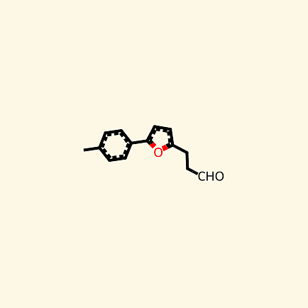 Cc1ccc(-c2ccc(CCC=O)o2)cc1